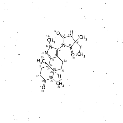 CCC1(C)NC(=O)N(c2c3c(nn2C)[C@@]2(C)CCC(=O)[C@@H](C)[C@@H]2CC3)C1=O